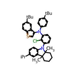 CC(C)c1ccc2c(c1)C1(C)CCCCC1(C)N2c1cccc(N(c2ccc(C(C)(C)C)cc2)c2csc3ccc(C(C)(C)C)cc23)c1Cl